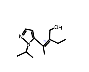 CC/C(CO)=C(\C)c1ccnn1C(C)C